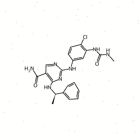 CNC(=O)Nc1cc(Nc2ncc(C(N)=O)c(N[C@H](C)c3ccccc3)n2)ccc1Cl